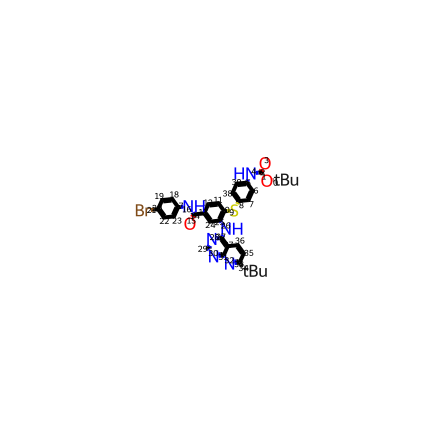 CC(C)(C)OC(=O)Nc1ccc(Sc2ccc(C(=O)Nc3ccc(Br)cc3)cc2Nc2ncnc3nc(C(C)(C)C)ccc23)cc1